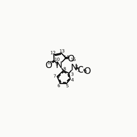 O=C=Nc1ccccc1N1C(=O)C=CC1=O